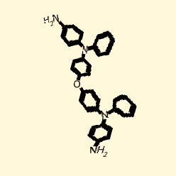 Nc1ccc(N(c2ccccc2)c2ccc(Oc3ccc(N(c4ccccc4)c4ccc(N)cc4)cc3)cc2)cc1